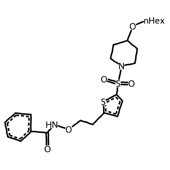 CCCCCCOC1CCN(S(=O)(=O)c2ccc(CCONC(=O)c3ccccc3)s2)CC1